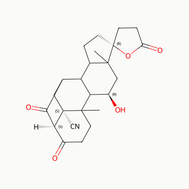 CC12C[C@@H](O)C3C(C4C[C@]5(C#N)[C@@H](C(=O)CCC35C)C4=O)C1CC[C@@]21CCC(=O)O1